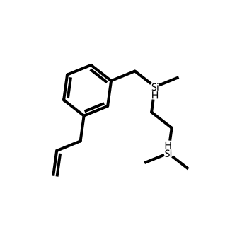 C=CCc1cccc(C[SiH](C)CC[SiH](C)C)c1